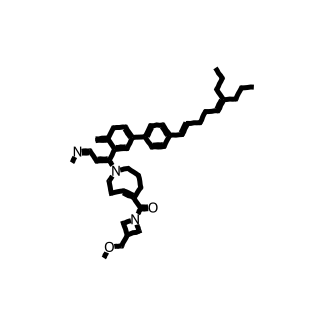 C=C1CC=C(c2ccc(/C=C/CCC=C(CCC)CCC)cc2)C=C1/C(=C\C=N/C)N1CC/C=C(\C(=O)N2CC(COC)C2)CCC1